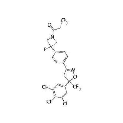 O=C(CC(F)(F)F)N1CC(F)(c2ccc(C3=NOC(c4cc(Cl)c(Cl)c(Cl)c4)(C(F)(F)F)C3)cc2)C1